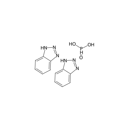 O=[PH](O)O.c1ccc2[nH]nnc2c1.c1ccc2[nH]nnc2c1